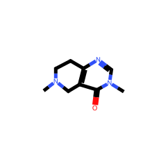 CN1CCc2ncn(C)c(=O)c2C1